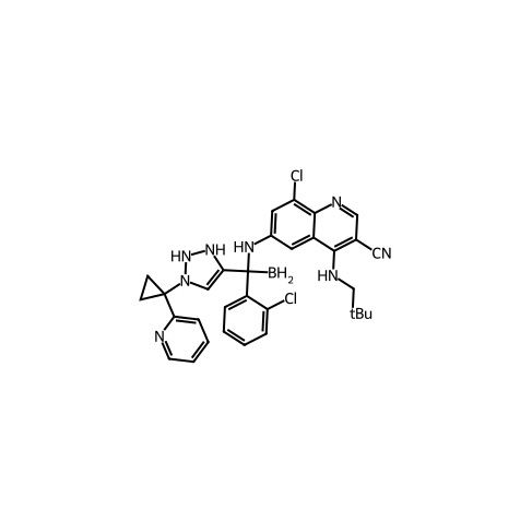 BC(Nc1cc(Cl)c2ncc(C#N)c(NCC(C)(C)C)c2c1)(C1=CN(C2(c3ccccn3)CC2)NN1)c1ccccc1Cl